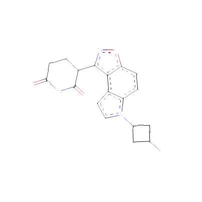 O=CC1CC(n2ccc3c4c(C5CCC(=O)NC5=O)noc4ccc32)C1